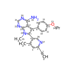 C#Cc1cc(C)c(-c2c(-c3ccc(OC(C)C)cc3)c3c(N)ncnc3n2C)cn1